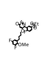 CCS(=O)(=O)c1ccc(F)c(-c2nn(C)c(=O)cc2OCCCCc2cc(F)cc(F)c2OC)c1